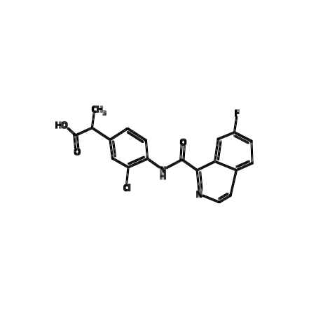 CC(C(=O)O)c1ccc(NC(=O)c2nccc3ccc(F)cc23)c(Cl)c1